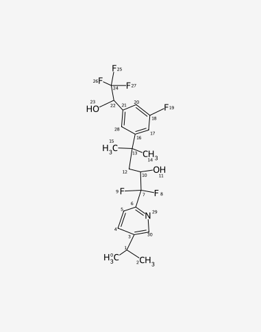 CC(C)c1ccc(C(F)(F)C(O)CC(C)(C)c2cc(F)cc(C(O)C(F)(F)F)c2)nc1